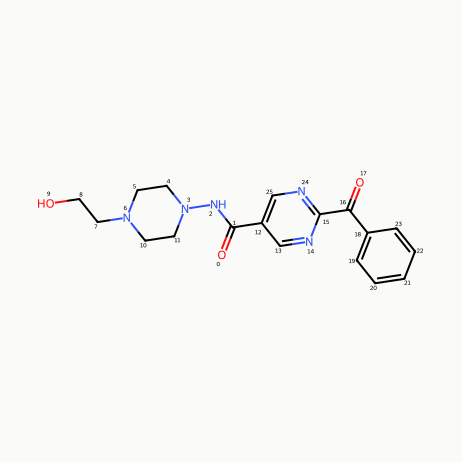 O=C(NN1CCN(CCO)CC1)c1cnc(C(=O)c2ccccc2)nc1